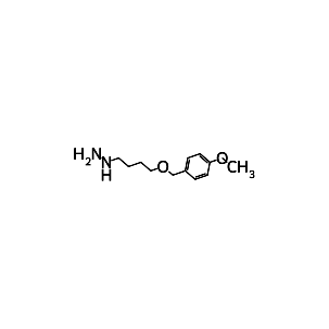 COc1ccc(COCCCCNN)cc1